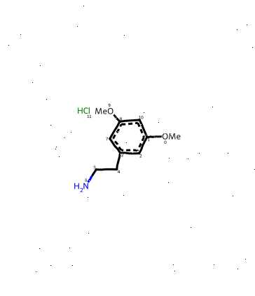 COc1cc(CCN)cc(OC)c1.Cl